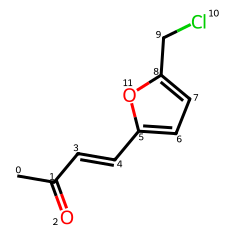 CC(=O)/C=C/c1ccc(CCl)o1